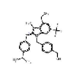 CCc1cc(C(F)(F)F)cc2c1n(C)/c(=N/c1ccc(C(C)C)cc1)n2Cc1ccc(CO)cc1